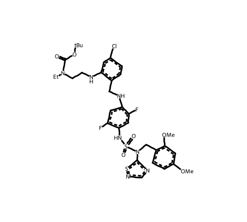 CCN(CCNc1cc(Cl)ccc1CNc1cc(F)c(NS(=O)(=O)N(Cc2ccc(OC)cc2OC)c2ncns2)cc1F)C(=O)OC(C)(C)C